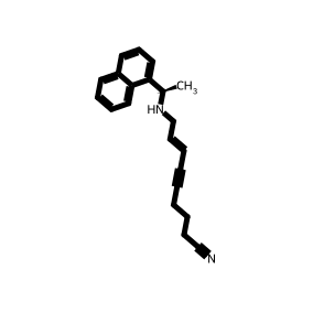 C[C@@H](NC/C=C/C#CCCCC#N)c1cccc2ccccc12